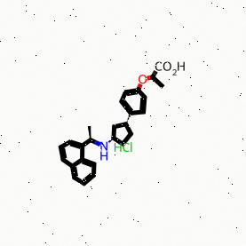 CC(Oc1ccc([C@@H]2CC[C@H](N[C@H](C)c3cccc4ccccc34)C2)cc1)C(=O)O.Cl